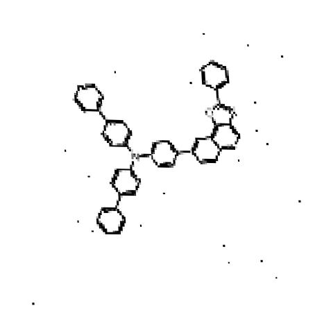 c1ccc(-c2ccc(N(c3ccc(-c4ccccc4)cc3)c3ccc(-c4ccc5ccc6nc(-c7ccccc7)oc6c5c4)cc3)cc2)cc1